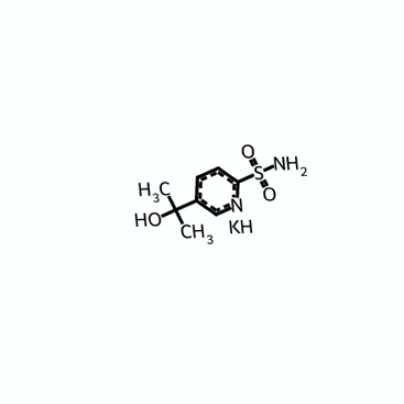 CC(C)(O)c1ccc(S(N)(=O)=O)nc1.[KH]